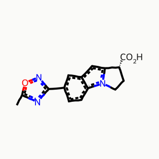 Cc1nc(-c2ccc3c(c2)cc2n3CC[C@H]2C(=O)O)no1